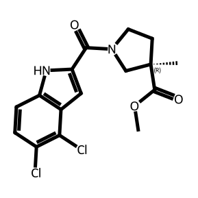 COC(=O)[C@]1(C)CCN(C(=O)c2cc3c(Cl)c(Cl)ccc3[nH]2)C1